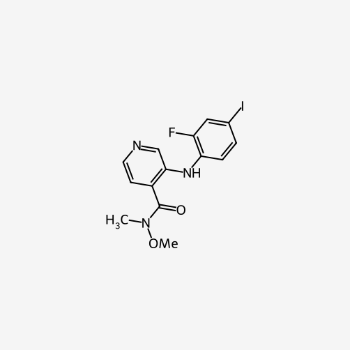 CON(C)C(=O)c1ccncc1Nc1ccc(I)cc1F